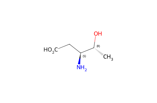 C[C@@H](O)[C@@H](N)CC(=O)O